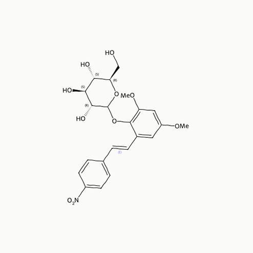 COc1cc(/C=C/c2ccc([N+](=O)[O-])cc2)c(OC2O[C@H](CO)[C@@H](O)[C@H](O)[C@H]2O)c(OC)c1